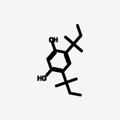 CCC(C)(C)c1cc(C(C)(C)CC)c(O)cc1O